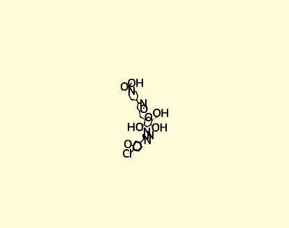 COc1cc(-c2cn([C@H]3[C@@H](O)[C@@H](CO)O[C@H](CC4CC(C5CCN(C(=O)O)CC5)=NO4)[C@@H]3O)nn2)ccc1Cl